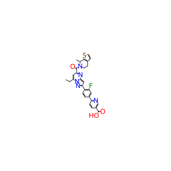 CCc1cc(C(=O)N2CCc3ccsc3C2C)nc2cc(-c3ccc(-c4ccc(C(=O)O)cn4)cc3F)nn12